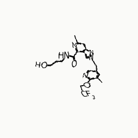 Cc1cc2nn(Cc3cnc(OCC(F)(F)F)c(C)c3)cc2c(C(=O)NCCCO)n1